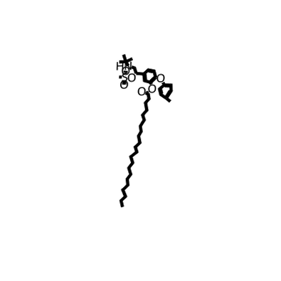 CCCCCCCCCCCCCCCCCCCCCC(=O)Oc1cc(C(CNC(C)(C)C)OS(C)(=O)=O)ccc1Oc1ccc(C)cc1